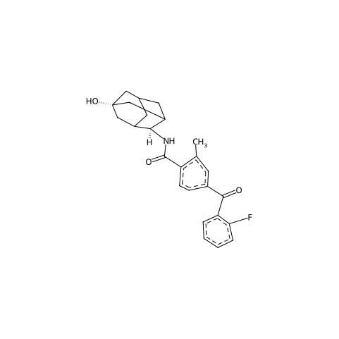 Cc1cc(C(=O)c2ccccc2F)ccc1C(=O)N[C@H]1C2CC3CC1C[C@](O)(C3)C2